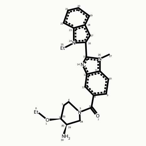 CCO[C@H]1CCN(C(=O)c2ccc3c(c2)nc(-c2cc4ccccc4n2CC)n3C)C[C@H]1N